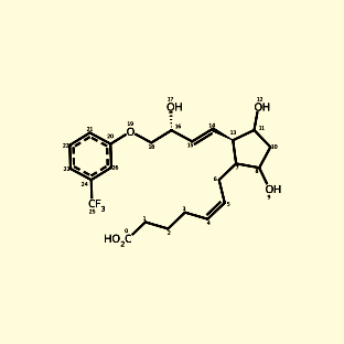 O=C(O)CCC/C=C\CC1C(O)CC(O)[C@@H]1/C=C/[C@@H](O)COc1cccc(C(F)(F)F)c1